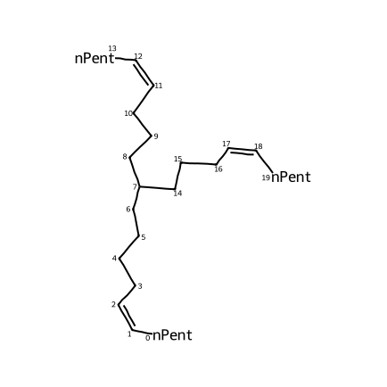 CCCCC/C=C\CCCCC(CCC/C=C\CCCCC)CCC/C=C\CCCCC